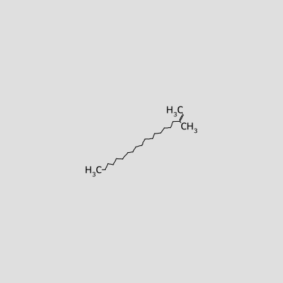 CC=C(C)CCCCCCCCCCCCCCCCC